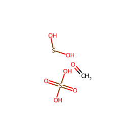 C=O.O=S(=O)(O)O.OSO